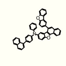 c1ccc(N(c2ccc(-c3cccc4ccccc34)cc2)c2ccc3oc4c5ccccc5cc(-c5ccc6oc7ccccc7c6c5)c4c3c2)cc1